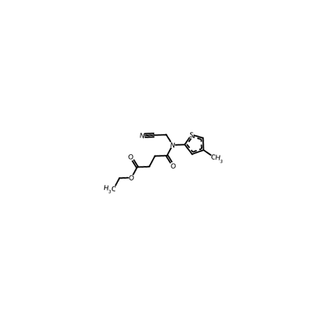 CCOC(=O)CCC(=O)N(CC#N)c1cc(C)cs1